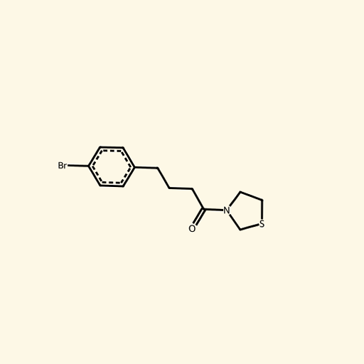 O=C(CCCc1ccc(Br)cc1)N1CCSC1